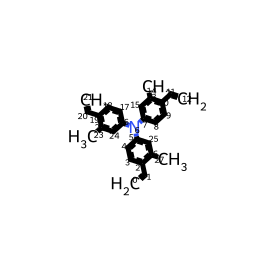 C=Cc1ccc(N(c2ccc(C=C)c(C)c2)c2ccc(C=C)c(C)c2)cc1C